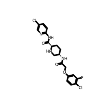 O=C(COc1ccc(Cl)c(F)c1)N[C@H]1CC[C@H](C(=O)Nc2ccc(Cl)cn2)NC1